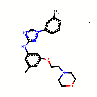 Cc1cc(Nc2ncn(-c3cccc(C(F)(F)F)c3)n2)cc(OCCN2CCOCC2)c1